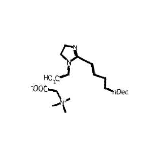 CCCCCCCCCCCCCCC1=NCCN1CC(=O)O.C[N+](C)(C)CC(=O)[O-]